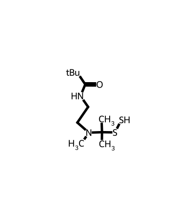 CN(CCNC(=O)C(C)(C)C)C(C)(C)SS